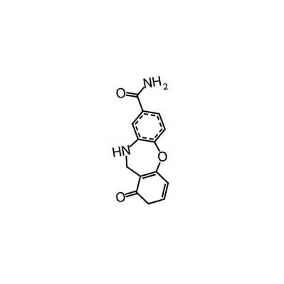 NC(=O)c1ccc2c(c1)NCC1=C(C=CCC1=O)O2